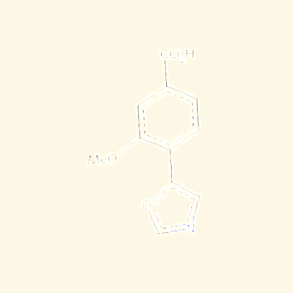 COc1cc(C(=O)O)ccc1-c1cnco1